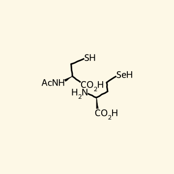 CC(=O)N[C@@H](CS)C(=O)O.N[C@@H](CC[SeH])C(=O)O